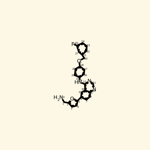 NCc1ccc(-c2ccc3ncnc(Nc4ccc(OCc5cccc(F)c5)cc4)c3c2)o1